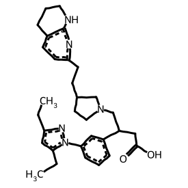 CCc1cc(CC)n(-c2cccc(C(CC(=O)O)CN3CCC(CCc4ccc5c(n4)NCCC5)C3)c2)n1